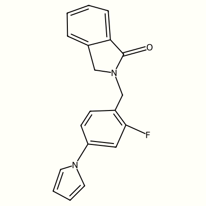 O=C1c2ccccc2CN1Cc1ccc(-n2cccc2)cc1F